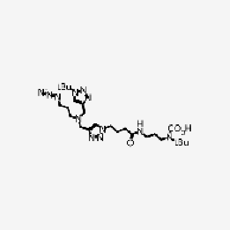 CC(C)(C)N(CCCNC(=O)CCCn1cc(CN(CCCN=[N+]=[N-])Cc2cn(C(C)(C)C)nn2)nn1)C(=O)O